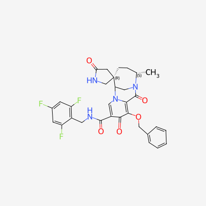 C[C@H]1CC[C@@]2(CNC(=O)C2)C2CN1C(=O)c1c(OCc3ccccc3)c(=O)c(C(=O)NCc3c(F)cc(F)cc3F)cn12